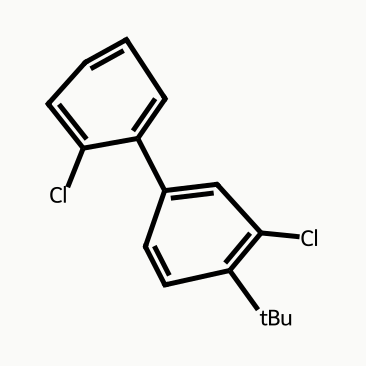 CC(C)(C)c1ccc(-c2ccccc2Cl)cc1Cl